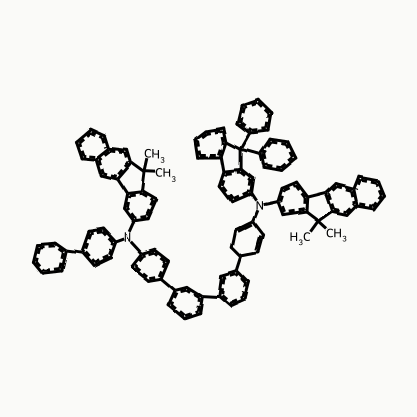 CC1(C)c2ccc(N(c3ccc(-c4ccccc4)cc3)c3ccc(-c4cccc(-c5cccc(C6C=CC(N(c7ccc8c(c7)C(C)(C)c7cc9ccccc9cc7-8)c7ccc8c(c7)C(c7ccccc7)(c7ccccc7)c7ccccc7-8)=CC6)c5)c4)cc3)cc2-c2cc3ccccc3cc21